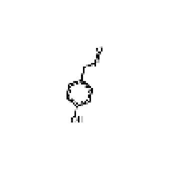 O=PCc1ccc(O)cc1